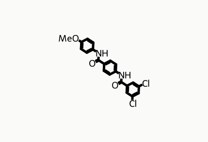 COc1ccc(NC(=O)c2ccc(NC(=O)c3cc(Cl)cc(Cl)c3)cc2)cc1